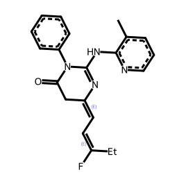 CC/C(F)=C\C=C1/CC(=O)N(c2ccccc2)C(Nc2ncccc2C)=N1